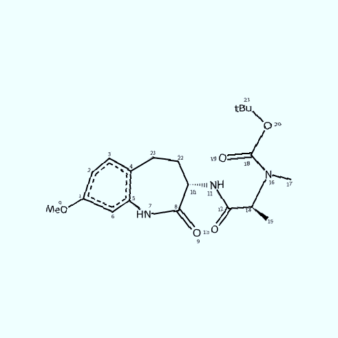 COc1ccc2c(c1)NC(=O)[C@@H](NC(=O)[C@H](C)N(C)C(=O)OC(C)(C)C)CC2